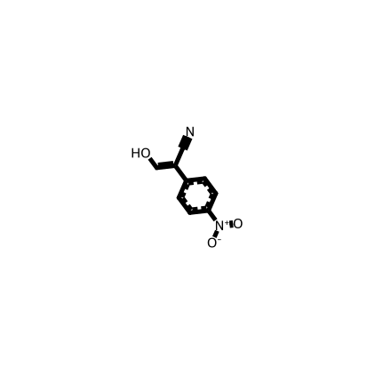 N#CC(=CO)c1ccc([N+](=O)[O-])cc1